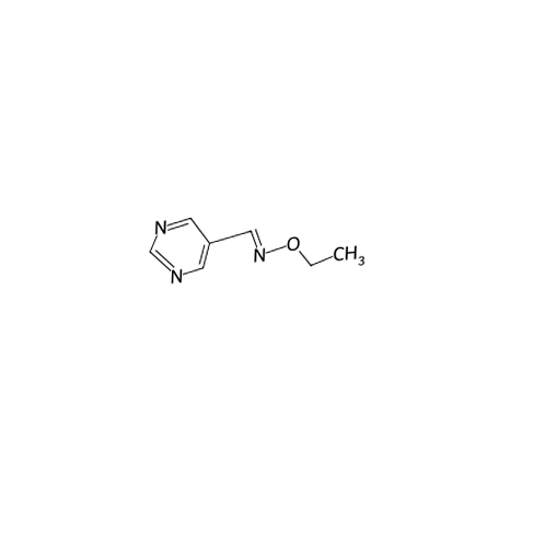 CCON=Cc1cncnc1